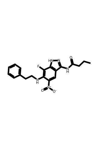 CCCC(=O)Nc1n[nH]c2c(F)c(NCCc3ccccc3)c([N+](=O)[O-])cc12